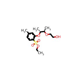 CCOS(=O)(=O)c1ccc(C)cc1O[C@H](C)[C@@H](C)OCCO